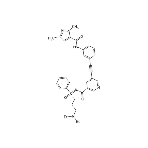 CCN(CC)CCC[S@@](=O)(=NC(=O)c1cncc(C#Cc2cccc(NC(=O)c3cc(C)nn3C)c2)c1)c1ccccc1